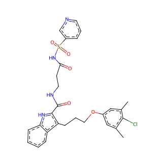 Cc1cc(OCCCc2c(C(=O)NCCC(=O)NS(=O)(=O)c3cccnc3)[nH]c3ccccc23)cc(C)c1Cl